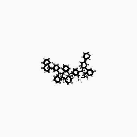 Cc1cc(N2c3ccccc3C3C(c4ccccc4N3c3cccc(C4CC=CC5C=CC=CC54)c3)[C@@H]3C=CC=C[C@@H]32)ccc1C1C2=C(CC(C3=CCCC=C3)C=C2)c2ccccc2N1C